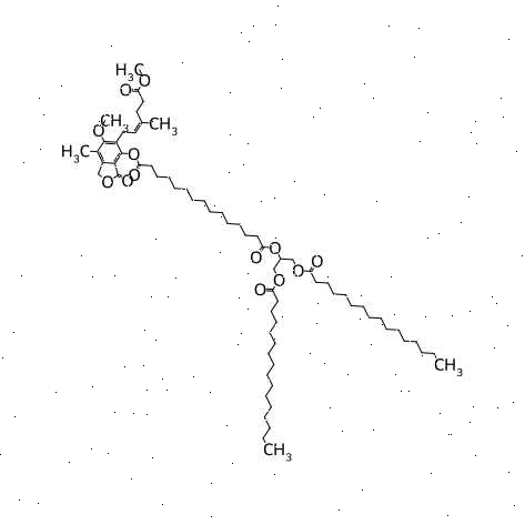 CCCCCCCCCCCCCCCC(=O)OCC(COC(=O)CCCCCCCCCCCCCCC)OC(=O)CCCCCCCCCCCCCC(=O)Oc1c(CC=C(C)CCC(=O)OC)c(OC)c(C)c2c1C(=O)OC2